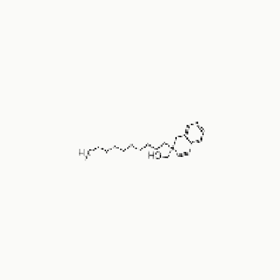 CCCCCCCCCCC1(CO)C=Cc2ccccc2C1